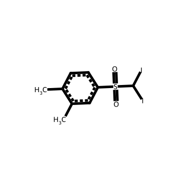 Cc1ccc(S(=O)(=O)C(I)I)cc1C